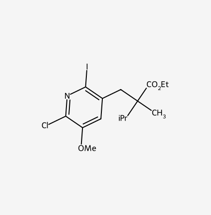 CCOC(=O)C(C)(Cc1cc(OC)c(Cl)nc1I)C(C)C